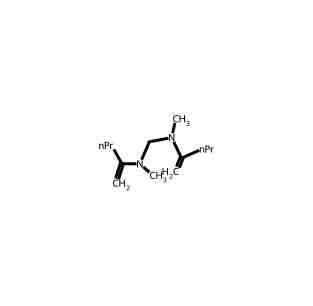 C=C(CCC)N(C)CN(C)C(=C)CCC